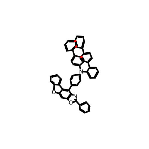 c1ccc(-c2ccc(-c3ccccc3N(c3ccc(-c4ccccc4)cc3)c3ccc(-c4c5nc(-c6ccccc6)oc5cc5oc6ccccc6c45)cc3)cc2)cc1